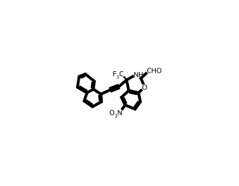 O=CC1N[C@](C#Cc2cccc3ccccc23)(C(F)(F)F)c2cc([N+](=O)[O-])ccc2O1